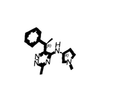 Cc1nnc([C@H](C)c2ccccc2)c(N[C@@H]2CCN(C)C2)n1